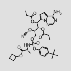 CCC(=O)O[C@H]([C@@H](COP(=O)(N[C@@H](C)C(=O)OC1CCC1)Oc1ccc(C(C)(C)C)cc1)OC#N)[C@@H](OC(=O)CC)c1ccc2c(N)ncnn12